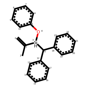 C=C(C)[SiH](Oc1ccccc1)C(c1ccccc1)c1ccccc1